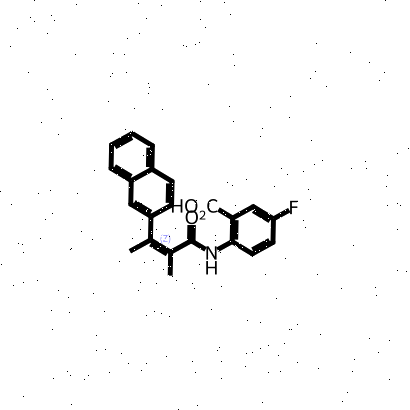 C/C(C(=O)Nc1ccc(F)cc1C(=O)O)=C(\C)c1ccc2ccccc2c1